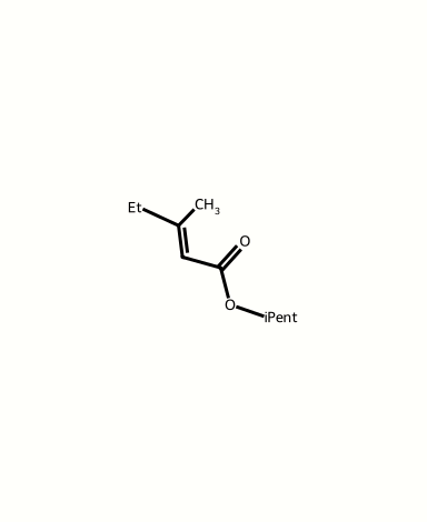 CCCC(C)OC(=O)C=C(C)CC